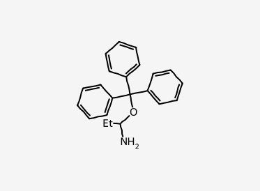 CCC(N)OC(c1ccccc1)(c1ccccc1)c1ccccc1